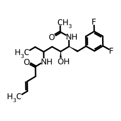 C/C=C/CC(=O)NC(CC)C[C@H](O)[C@H](Cc1cc(F)cc(F)c1)NC(C)=O